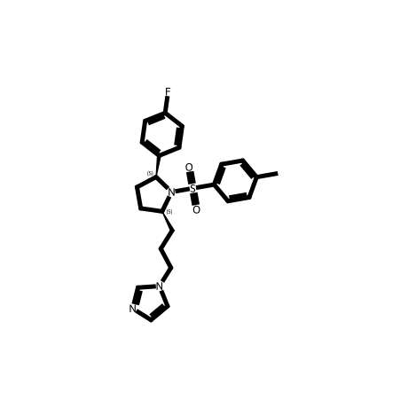 Cc1ccc(S(=O)(=O)N2[C@@H](CCCn3ccnc3)CC[C@H]2c2ccc(F)cc2)cc1